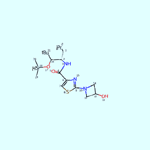 CC(C)C[C@H](NC(=O)c1csc(N2CC(O)C2)n1)C(O[SiH](C)C)C(C)(C)C